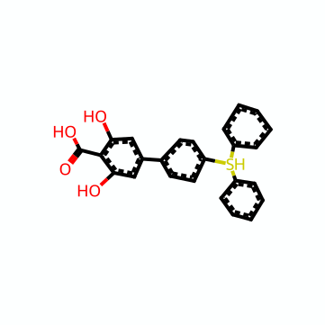 O=C(O)c1c(O)cc(-c2ccc([SH](c3ccccc3)c3ccccc3)cc2)cc1O